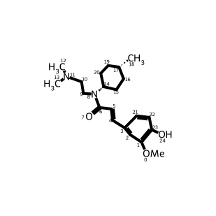 COc1cc(C=CC(=O)N(CCN(C)C)[C@H]2CC[C@@H](C)CC2)ccc1O